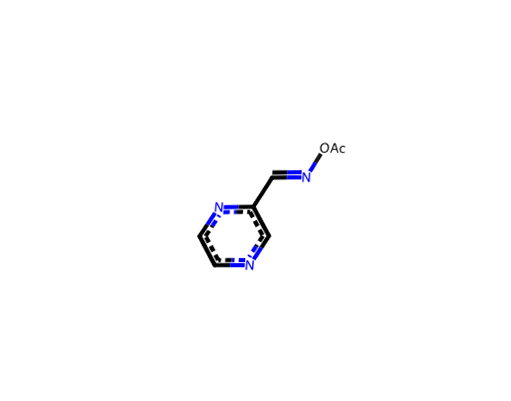 CC(=O)ON=Cc1cnccn1